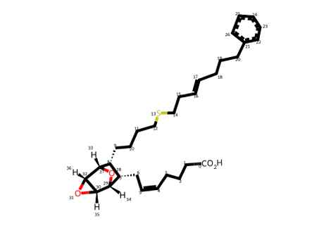 O=C(O)CCC/C=C\C[C@H]1[C@@H](CCCCSCCC=CCCCc2ccccc2)[C@@H]2O[C@H]1[C@@H]1O[C@@H]12